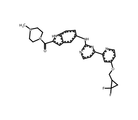 CN1CCN(C(=O)c2cc3cc(Nc4nccc(-c5cc(OCC6CC6(F)F)ccn5)n4)ccc3[nH]2)CC1